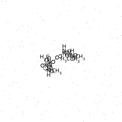 COC(=O)N[C@H]1CCc2cccc3c2N(C1=O)[C@H](c1nc2ccc(-c4ccc5cc(-c6c[nH]c([C@@H]7CCCN7C(=O)[C@@H](NC(=O)OC)C(C)C)n6)ccc5c4)cc2n1C(=O)OC)C3